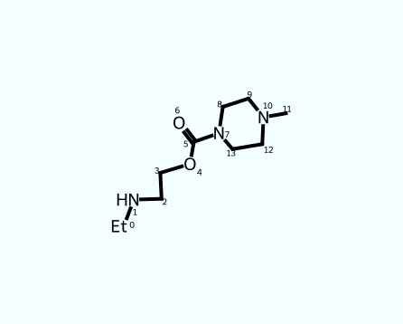 CCNCCOC(=O)N1CCN(C)CC1